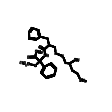 CCOC(=O)OC(NC(=O)C(CSSCC([NH])CCSC)Cc1ccccc1)(C(=O)OC)c1ccccc1